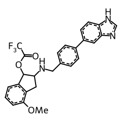 COc1cccc2c1CC(NCc1ccc(-c3ccc4[nH]cnc4c3)cc1)C2OC(=O)C(F)(F)F